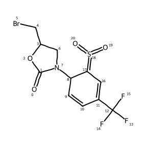 O=C1OC(CBr)CN1C1C=CC(C(F)(F)F)=CC1=S(=O)=O